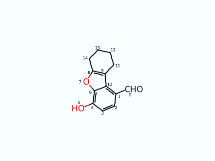 O=Cc1ccc(O)c2oc3c(c12)CCCC3